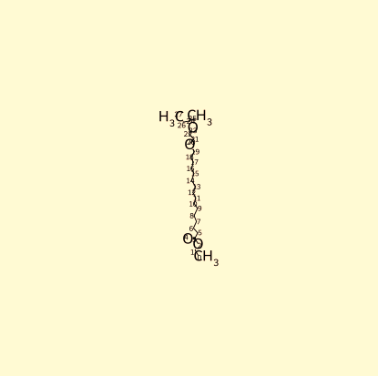 CCOC(=O)CCCCCCCCCCCCCCCOCCOC(C)CC